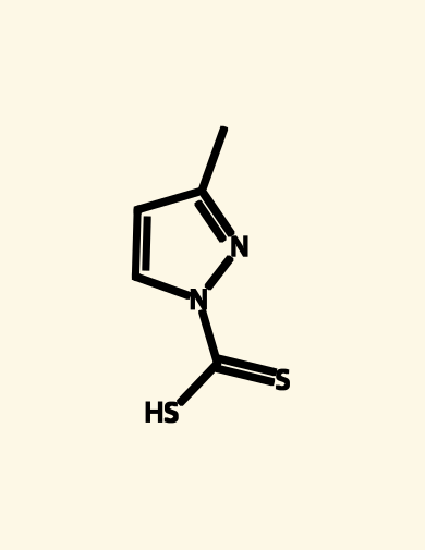 Cc1ccn(C(=S)S)n1